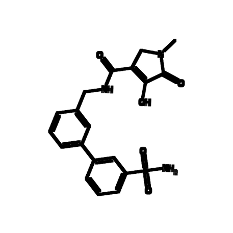 CN1CC(C(=O)NCc2cccc(-c3cccc(S(N)(=O)=O)c3)c2)=C(O)C1=O